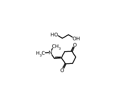 CN(C)C=C1CC(=O)CCC1=O.OCCO